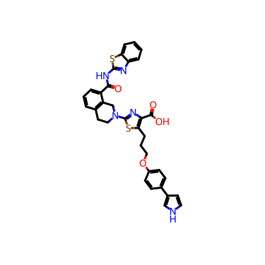 O=C(Nc1nc2ccccc2s1)c1cccc2c1CN(c1nc(C(=O)O)c(CCCOc3ccc(-c4cc[nH]c4)cc3)s1)CC2